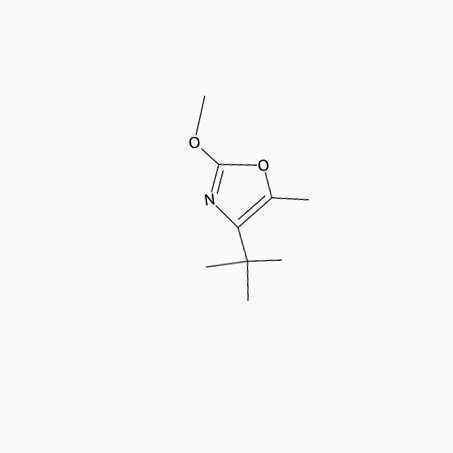 COc1nc(C(C)(C)C)c(C)o1